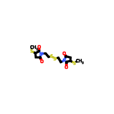 CSC1CC(=O)N(CCSSCCN2C(=O)CC(SC)C2=O)C1=O